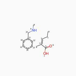 CCC=C(C)C(=O)O.CNCc1ccccc1